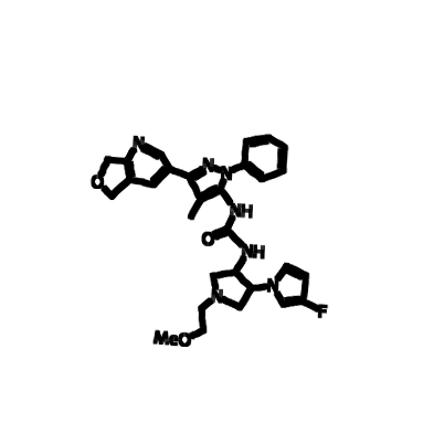 COCCN1CC(NC(=O)Nc2c(C)c(-c3cnc4c(c3)COC4)nn2-c2ccccc2)C(n2ccc(F)c2)C1